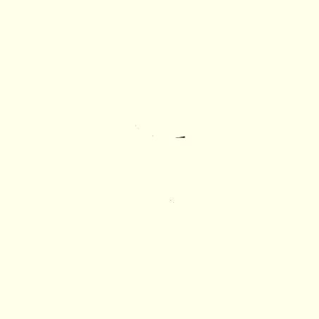 CO[C@]12C[C@@H](CO)CN[C@@H]1Cc1c(CCO)[nH]c3cccc2c13